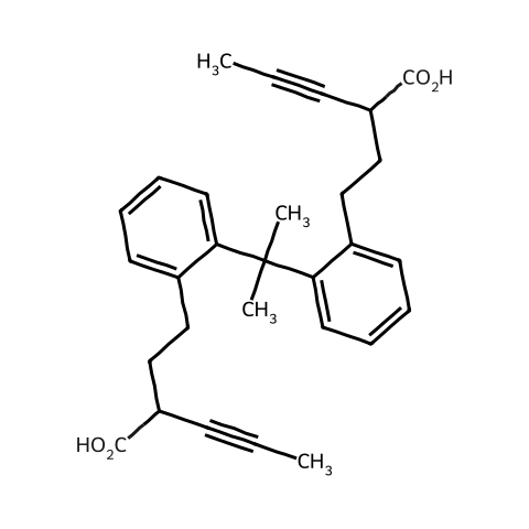 CC#CC(CCc1ccccc1C(C)(C)c1ccccc1CCC(C#CC)C(=O)O)C(=O)O